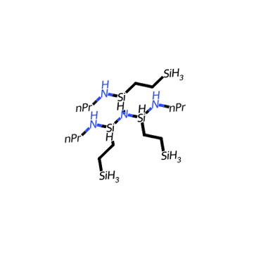 CCCN[SiH](CC[SiH3])N([SiH](CC[SiH3])NCCC)[SiH](CC[SiH3])NCCC